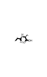 CCC(=O)N[C@@H](C)C(=O)O